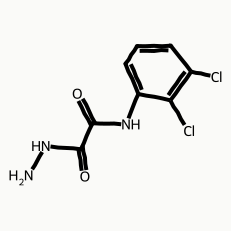 NNC(=O)C(=O)Nc1cccc(Cl)c1Cl